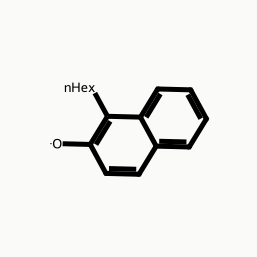 CCCCCCc1c([O])ccc2ccccc12